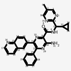 Cc1cnc(C(NC(=O)c2nc(-c3ccc4ncccc4c3)c(-c3ccccc3)nc2N)C2CC2)nc1